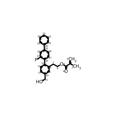 C=C(C)C(=O)OCCc1cc(CO)ccc1-c1ccc(-c2ccccc2)cc1F